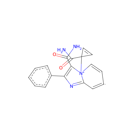 NC(=O)C1=C(c2ccccc2)N=C2C=[C]C=C[N+]21C1(C(N)=O)C=C1